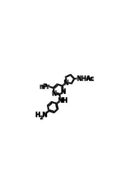 CCCc1cc(N2CCC(NC(C)=O)C2)nc(Nc2ccc(N)cc2)n1